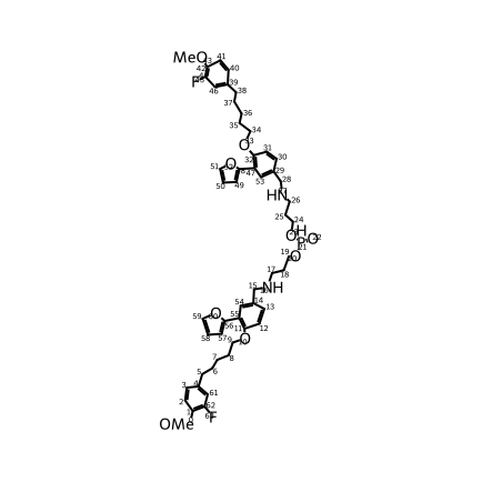 COc1ccc(CCCCCOc2ccc(CNCCCO[PH](=O)OCCCNCc3ccc(OCCCCCc4ccc(OC)c(F)c4)c(-c4ccco4)c3)cc2-c2ccco2)cc1F